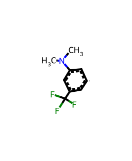 CN(C)c1c[c]cc(C(F)(F)F)c1